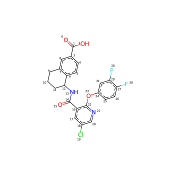 O=C(O)c1ccc2c(c1)CCCC2NC(=O)c1cc(Cl)cnc1Oc1ccc(F)c(F)c1